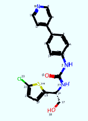 O=C(Nc1ccc(-c2ccncc2)cc1)N[C@H](CO)c1ccc(Cl)s1